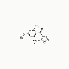 CCSc1ccc(C(=O)c2cnoc2C2CC2)c(C(F)(F)F)c1